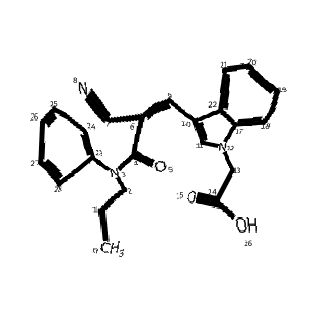 CCCN(C(=O)C(C#N)=Cc1cn(CC(=O)O)c2ccccc12)c1ccccc1